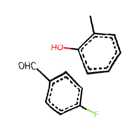 Cc1ccccc1O.O=Cc1ccc(F)cc1